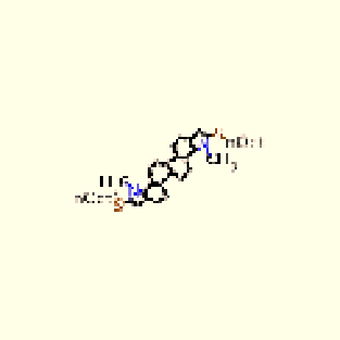 CCCCCCCCSc1cc2ccc3c4ccc5c(ccc6cc(SCCCCCCCC)n(C)c65)c4ccc3c2n1C